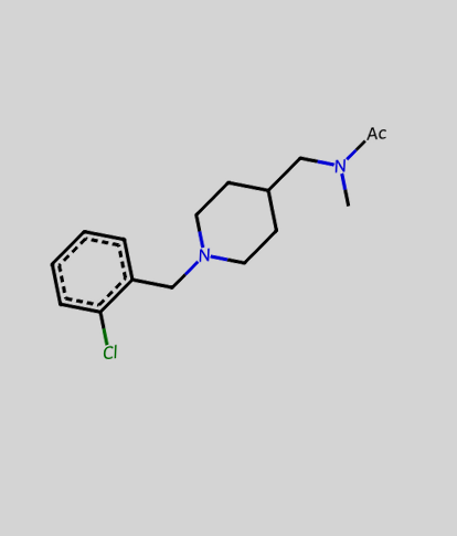 CC(=O)N(C)CC1CCN(Cc2ccccc2Cl)CC1